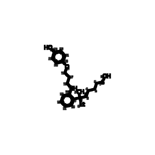 CCC(C)(CCCCSO)c1ccccc1NCCCOc1ccc(O)cc1